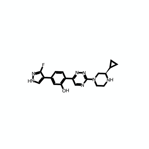 Oc1cc(-c2c[nH]nc2F)ccc1-c1cnc(N2CCN[C@H](C3CC3)C2)nn1